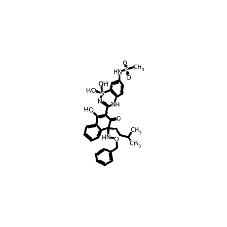 CC(C)CCC1(NOCc2ccccc2)C(=O)C(C2=NS(O)(O)c3cc(NS(C)(=O)=O)ccc3N2)=C(O)c2ccccc21